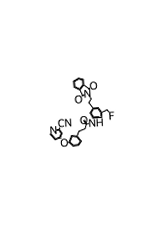 N#Cc1cc(Oc2cccc(CCC(=O)Nc3cc(CF)cc(CCN4C(=O)c5ccccc5C4=O)c3)c2)ccn1